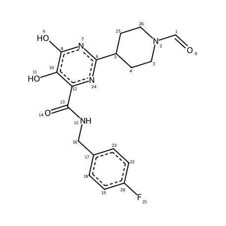 O=CN1CCC(c2nc(O)c(O)c(C(=O)NCc3ccc(F)cc3)n2)CC1